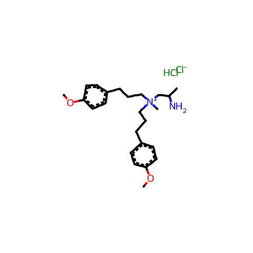 COc1ccc(CCC[N+](C)(CCCc2ccc(OC)cc2)CC(C)N)cc1.Cl.[Cl-]